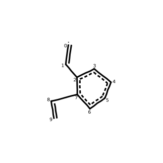 [CH]=Cc1ccccc1C=C